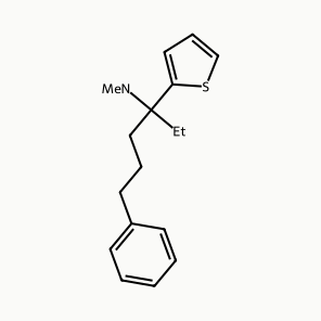 CCC(CCCc1ccccc1)(NC)c1cccs1